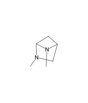 CN1CC2CC1N2C